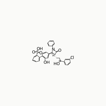 O=C1[C@H](CC[C@H](O)c2cccc(Cl)c2)[C@@H](c2ccc(-c3ccccc3S(=O)(=O)O)c(O)c2)N1c1ccccc1